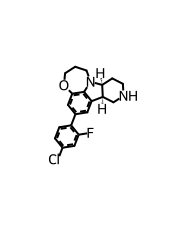 Fc1cc(Cl)ccc1-c1cc2c3c(c1)[C@@H]1CNCC[C@@H]1N3CCCO2